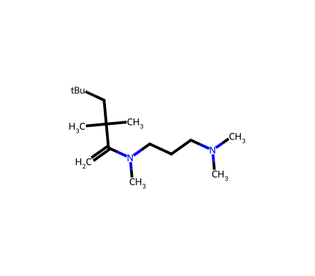 C=C(N(C)CCCN(C)C)C(C)(C)CC(C)(C)C